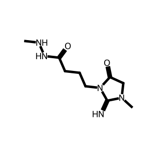 CNNC(=O)CCCN1C(=N)N(C)CC1=O